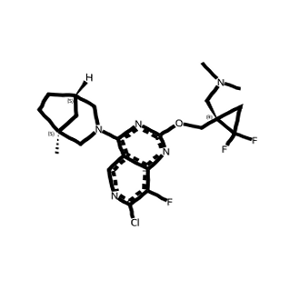 CN(C)C[C@@]1(COc2nc(N3C[C@H]4CC[C@@](C)(C4)C3)c3cnc(Cl)c(F)c3n2)CC1(F)F